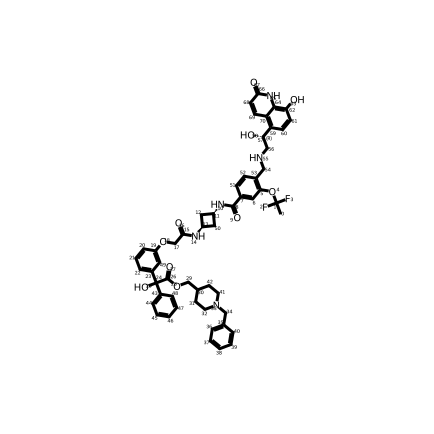 CC(F)(F)Oc1cc(C(=O)N[C@H]2C[C@H](NC(=O)COc3cccc(C(O)(C(=O)OCC4CCN(Cc5ccccc5)CC4)c4ccccc4)c3)C2)ccc1CNC[C@H](O)c1ccc(O)c2[nH]c(=O)ccc12